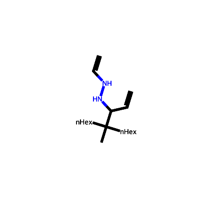 C=CNNC(C=C)C(C)(CCCCCC)CCCCCC